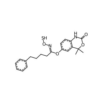 CC1(C)OC(=O)Nc2ccc(OC(CCCCc3ccccc3)=NOS)cc21